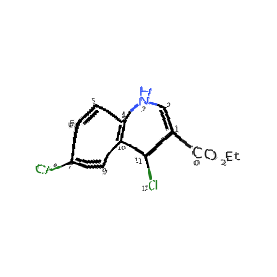 CCOC(=O)C1=CNc2ccc(Cl)cc2C1Cl